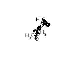 Cc1cc(COc2ccc(C3(C)CCCN(C(C)CC=O)C3=O)cc2)c2ccccc2n1